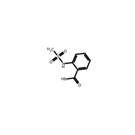 CS(=O)(=O)Nc1ccccc1C([NH])=O